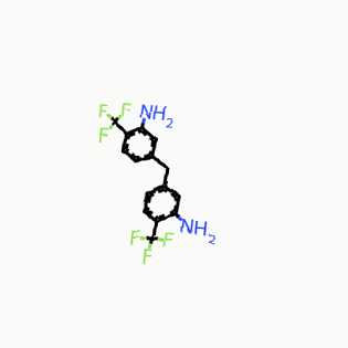 Nc1cc(Cc2ccc(C(F)(F)F)c(N)c2)ccc1C(F)(F)F